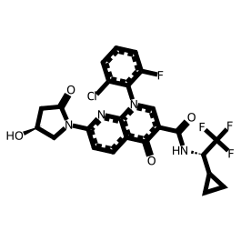 O=C(N[C@@H](C1CC1)C(F)(F)F)c1cn(-c2c(F)cccc2Cl)c2nc(N3C[C@@H](O)CC3=O)ccc2c1=O